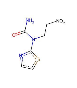 NC(=O)N(CC[N+](=O)[O-])c1nccs1